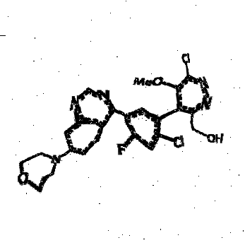 COc1c(Cl)nnc(CO)c1-c1cc(-c2ncnc3cc(N4CCOCC4)ccc23)c(F)cc1Cl